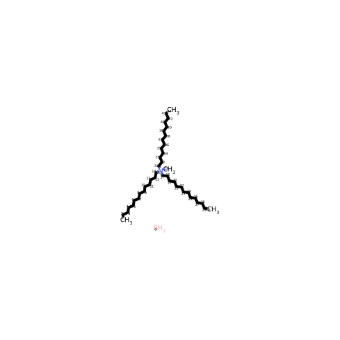 B.CCCCCCCCCCCCCC[N+](C)(CCCCCCCCCCCCCC)CCCCCCCCCCCCCC